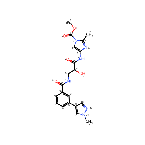 CCCOC(=O)n1cc(NC(=O)[C@@H](O)CNC(=O)c2cccc(-c3cnn(C)c3)c2)nc1C